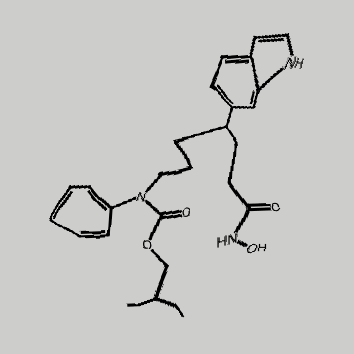 CC(C)COC(=O)N(CCCC(CCC(=O)NO)c1ccc2cc[nH]c2c1)c1ccccc1